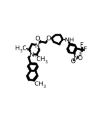 Cc1ccc2cc(CN3[C@H](C)CN(C(=O)CO[C@H]4CC[C@H](Nc5ccc([N+](=O)[O-])c(C(F)(F)F)c5)CC4)C[C@@H]3C)ccc2c1